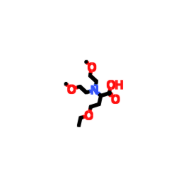 CCOCCC(C(=O)O)N(CCOC)CCOC